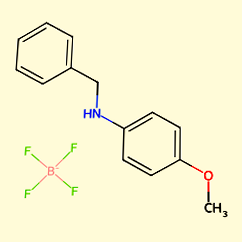 COc1ccc(NCc2ccccc2)cc1.F[B-](F)(F)F